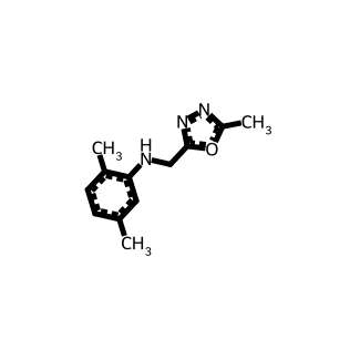 Cc1ccc(C)c(NCc2nnc(C)o2)c1